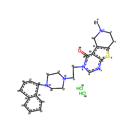 CCN1CCc2sc3ncn(CCN4CCN(c5cccc6ccccc56)CC4)c(=O)c3c2C1.Cl.Cl